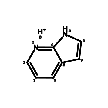 [H+].c1cnc2[nH]ccc2c1